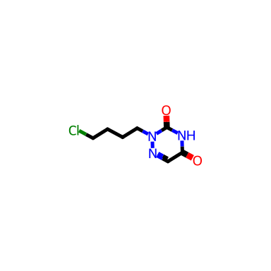 O=c1cnn(CCCCCl)c(=O)[nH]1